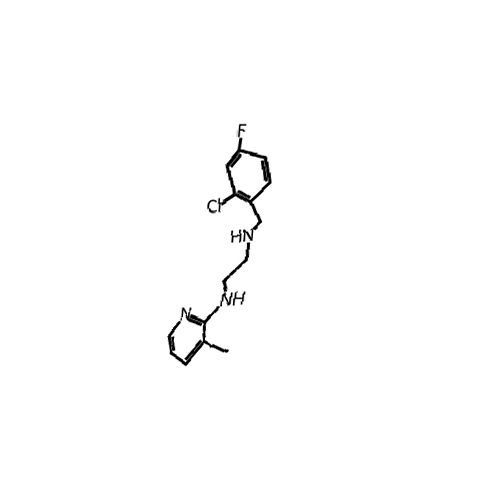 Cc1cccnc1NCCNCc1ccc(F)cc1Cl